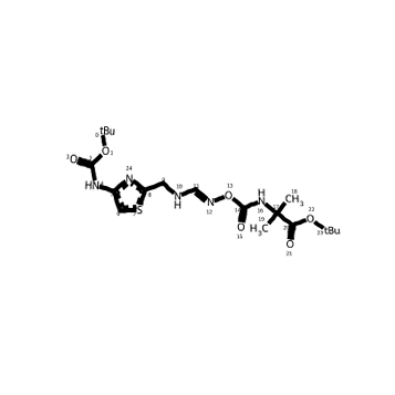 CC(C)(C)OC(=O)Nc1csc(CNC=NOC(=O)NC(C)(C)C(=O)OC(C)(C)C)n1